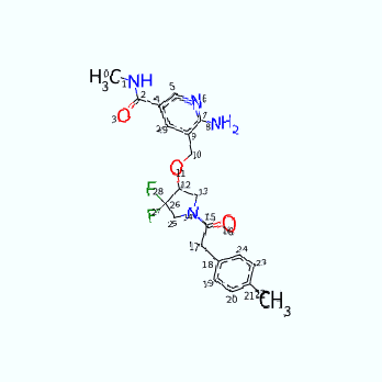 CNC(=O)c1cnc(N)c(COC2CN(C(=O)Cc3ccc(C)cc3)CC2(F)F)c1